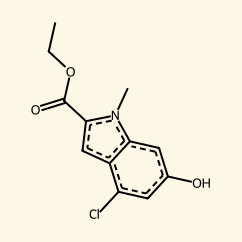 CCOC(=O)c1cc2c(Cl)cc(O)cc2n1C